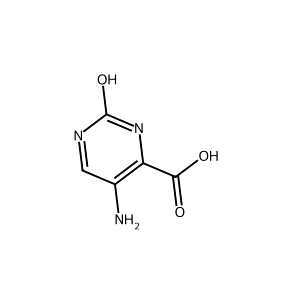 Nc1cnc(O)nc1C(=O)O